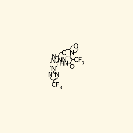 O=c1[nH]ncc(N2CCOCC2COCc2nc3n(n2)CCN(c2ncc(C(F)(F)F)cn2)C3)c1C(F)(F)F